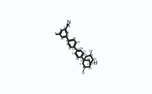 Cc1cc(C#N)cc(-c2ccc(-c3ccc(C45C[C@H](C)C[C@H](C[C@H](C)C4)C5)cc3)cc2)c1